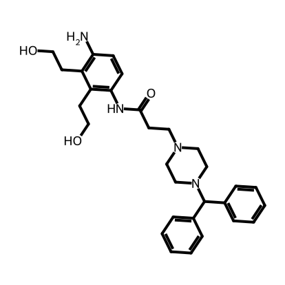 Nc1ccc(NC(=O)CCN2CCN(C(c3ccccc3)c3ccccc3)CC2)c(CCO)c1CCO